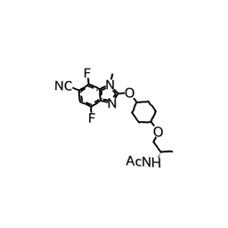 CC(=O)N[C@@H](C)COC1CCC(Oc2nc3c(F)cc(C#N)c(F)c3n2C)CC1